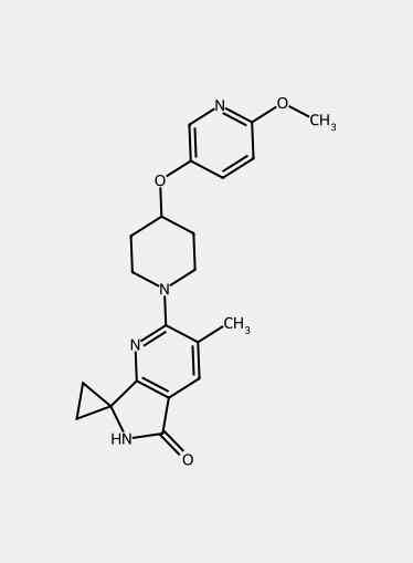 COc1ccc(OC2CCN(c3nc4c(cc3C)C(=O)NC43CC3)CC2)cn1